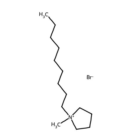 CCCCCCCCC[N+]1(C)CCCC1.[Br-]